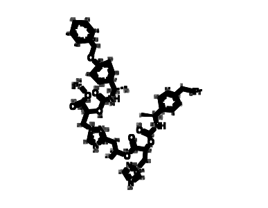 CC(C)Cc1ccc([C@H](C)NC(=O)OC(Cn2cncn2)C(=O)OC(C)Cc2ncn(CC(OC(=O)N[C@@H](C)c3ccc(OCc4ccccc4)cc3)C(=O)OC(C)C)n2)cc1